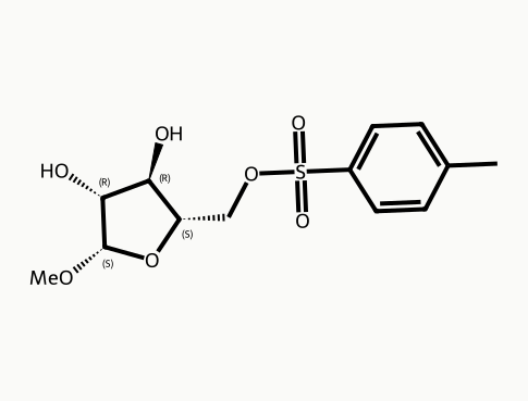 CO[C@H]1O[C@@H](COS(=O)(=O)c2ccc(C)cc2)[C@H](O)[C@H]1O